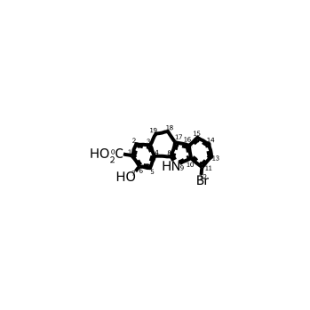 O=C(O)c1cc2c(cc1O)-c1[nH]c3c(Br)cccc3c1CC2